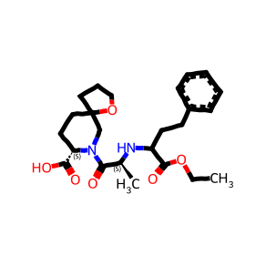 CCOC(=O)C(CCc1ccccc1)N[C@@H](C)C(=O)N1CC2(CCCO2)CC[C@H]1C(=O)O